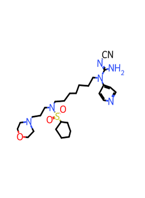 N#CN=C(N)N(CCCCCCCN(CCCN1CCOCC1)S(=O)(=O)C1CCCCC1)c1ccncc1